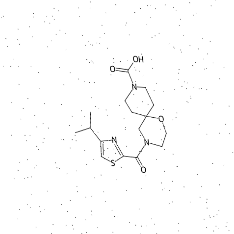 CC(C)c1csc(C(=O)N2CCOC3(CCN(C(=O)O)CC3)C2)n1